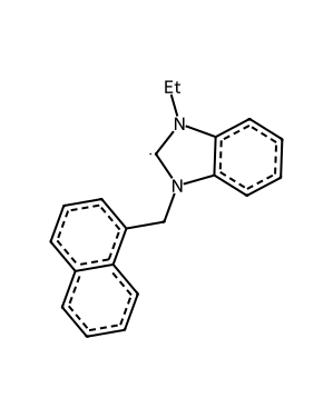 CCN1[CH]N(Cc2cccc3ccccc23)c2ccccc21